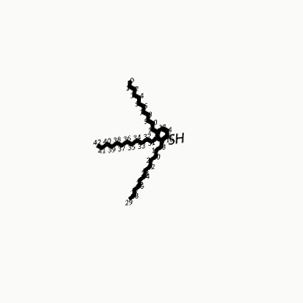 CCCCCCCCCCCCc1ccc(S)c(CCCCCCCCCCCC)c1CCCCCCCCCCCC